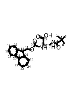 CC(C)(C)C(=O)NC[C@H](NC(=O)OCC1c2ccccc2-c2ccccc21)C(=O)O